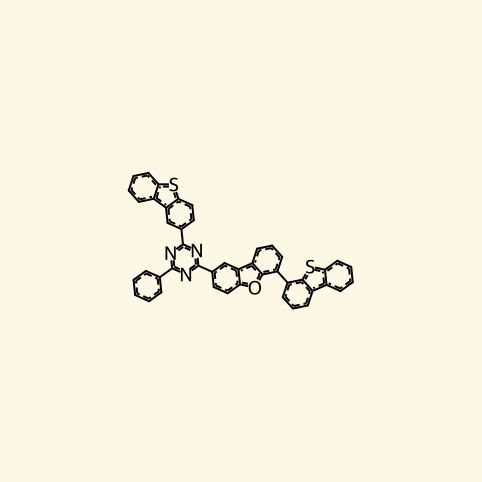 c1ccc(-c2nc(-c3ccc4oc5c(-c6cccc7c6sc6ccccc67)cccc5c4c3)nc(-c3ccc4sc5ccccc5c4c3)n2)cc1